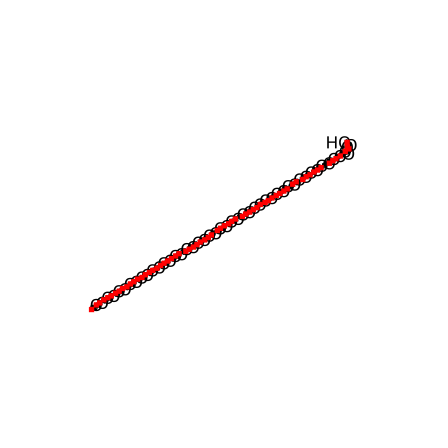 CCCOCCOCCOCCOCCOCCOCCOCCOCCOCCOCCOCCOCCOCCOCCOCCOCCOCCOCCOCCOCCOCCOCCOCCOCCOCCOCCOCCOCCOCCOCCOCCOCCOCCOCCOCCOCCOCCOCCOCCOCCOCCOCCOCCOCCOC(=O)C(C)OC(=O)C(C)O